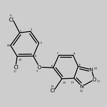 Clc1ccc(Oc2ccc3nonc3c2Cl)c(Cl)c1